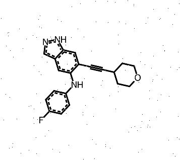 Fc1ccc(Nc2cc3cn[nH]c3cc2C#CC2CCOCC2)cc1